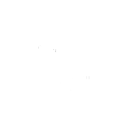 CC(C)N1CCCC(C2(C)CS2)C1